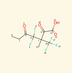 CCC(=O)C(F)(F)C(C)(C(=O)C(=O)O)C(F)(F)F